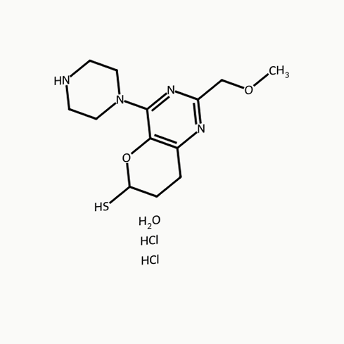 COCc1nc2c(c(N3CCNCC3)n1)OC(S)CC2.Cl.Cl.O